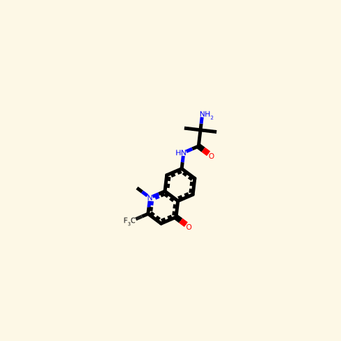 Cn1c(C(F)(F)F)cc(=O)c2ccc(NC(=O)C(C)(C)N)cc21